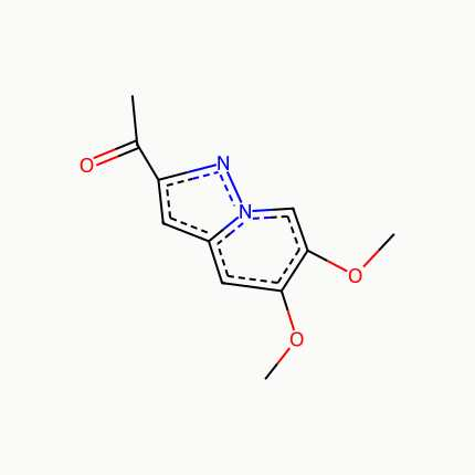 COc1cc2cc(C(C)=O)nn2cc1OC